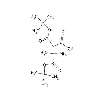 CC(C)(C)OC(=O)C(C(=O)O)C(N)(N)C(=O)OC(C)(C)C